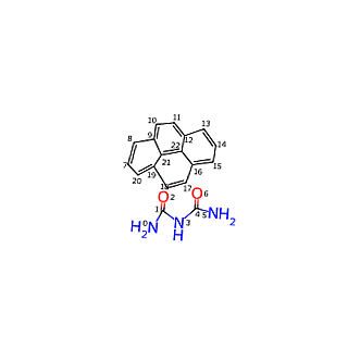 NC(=O)NC(N)=O.c1cc2ccc3cccc4ccc(c1)c2c34